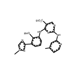 CCOC(=O)c1cnc(Nc2cc(C)ccn2)nc1Nc1cccc(-c2ncn(C)n2)c1OC